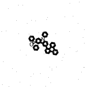 O=P(c1ccccc1)(c1ccccc1)c1ccc2c(c1)c1cc(-c3cccc4c5ccccc5c5ccccc5c34)ccc1n2-c1ccccc1